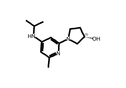 Cc1cc(NC(C)C)cc(N2CC[C@H](O)C2)n1